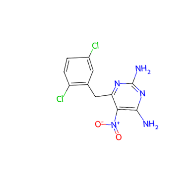 Nc1nc(N)c([N+](=O)[O-])c(Cc2cc(Cl)ccc2Cl)n1